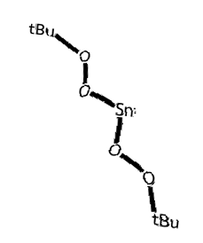 CC(C)(C)O[O][Sn][O]OC(C)(C)C